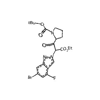 CCOC(=O)C(C(=O)C1CCCN1C(=O)OC(C)(C)C)n1cc2c(F)cc(Br)cc2n1